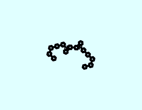 c1ccc(-c2cccc(-c3cccc(-c4ccc(-c5ccc(-n6c7ccccc7c7cc(-c8ccc9c(c8)c8ccccc8n9-c8cccc(-c9ccc(-c%10cccc(-c%11cccc(-c%12ccccc%12)c%11)c%10)cc9)c8)ccc76)cc5)cc4)c3)c2)cc1